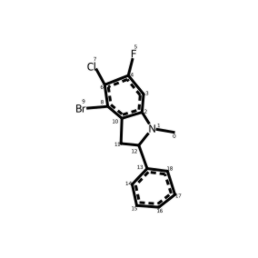 CN1c2cc(F)c(Cl)c(Br)c2CC1c1ccccc1